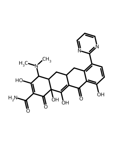 CN(C)C1C(O)=C(C(N)=O)C(=O)C2(O)C(O)=C3C(=O)c4c(O)ccc(-c5ncccn5)c4CC3CC12